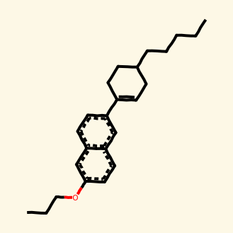 CCCCCC1CC=C(c2ccc3cc(OCCC)ccc3c2)CC1